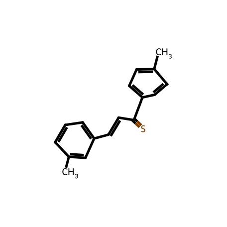 Cc1ccc(C(=S)C=Cc2cccc(C)c2)cc1